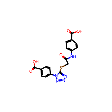 O=C(CSc1nnnn1-c1ccc(C(=O)O)cc1)Nc1ccc(C(=O)O)cc1